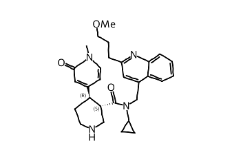 COCCCc1cc(CN(C(=O)[C@@H]2CNCC[C@H]2c2ccn(C)c(=O)c2)C2CC2)c2ccccc2n1